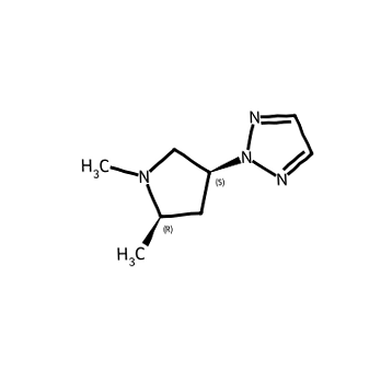 C[C@@H]1C[C@H](n2nccn2)CN1C